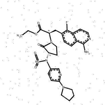 CCOC(=O)[C@@H](Cc1ccc2c(N)nccc2c1F)N1CC[C@H](N(c2ccc(N3CCCC3)nc2)[SH](=O)=O)C1=O